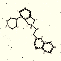 c1cc2c(c(N3CCOCC3)c1)CN(CCc1ccc3ccccc3n1)C2